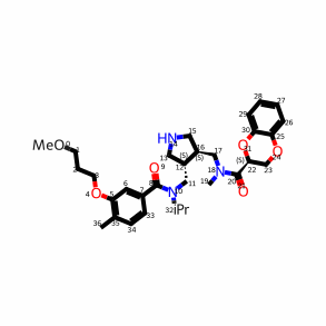 COCCCOc1cc(C(=O)N(C[C@@H]2CNC[C@H]2CN(C)C(=O)[C@@H]2COc3ccccc3O2)C(C)C)ccc1C